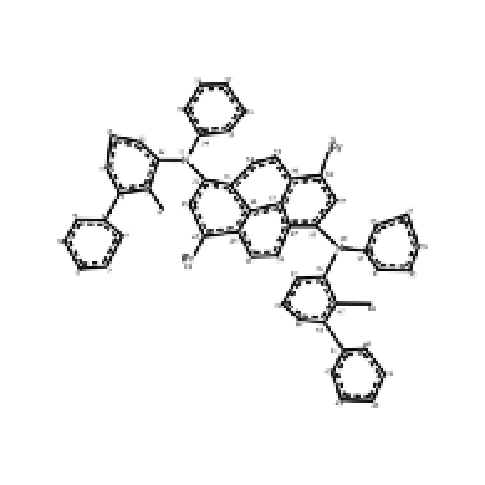 Cc1c(-c2ccccc2)cccc1N(c1ccccc1)c1cc(C(C)C)c2ccc3c(N(c4ccccc4)c4cccc(-c5ccccc5)c4C)cc(C(C)C)c4ccc1c2c43